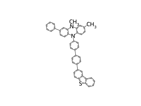 Cc1ccc2c(c1)N(C)c1cc(-c3ccccc3)ccc1N2c1ccc(-c2ccc(-c3ccc4sc5ccccc5c4c3)cc2)cc1